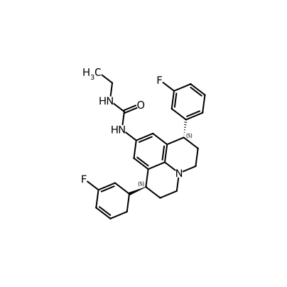 CCNC(=O)Nc1cc2c3c(c1)[C@H](C1C=C(F)C=CC1)CCN3CC[C@H]2c1cccc(F)c1